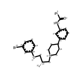 CC(C)C(=O)Nc1cccc(C2CCN(C[C@H](C)COc3cccc(Br)c3)CC2)c1